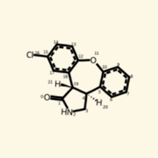 O=C1NC[C@@H]2c3ccccc3Oc3ccc(Cl)cc3[C@@H]12